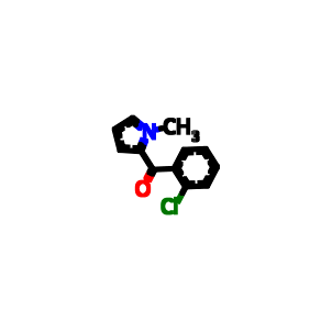 Cn1cccc1C(=O)c1ccccc1Cl